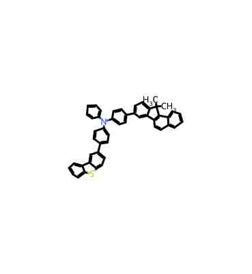 CC1(C)c2ccc(-c3ccc(N(c4ccccc4)c4ccc(-c5ccc6sc7ccccc7c6c5)cc4)cc3)cc2-c2ccc3ccccc3c21